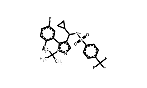 CC(C)(C)n1ncc(C(NS(=O)(=O)c2ccc(C(F)(F)F)cc2)C2CC2)c1-c1cc(F)ccc1Br